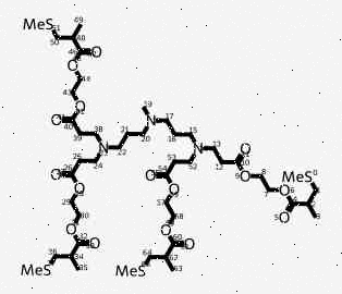 CSCC(C)C(=O)OCCOC(=O)CCN(CCCN(C)CCCN(CCC(=O)OCCOC(=O)C(C)CSC)CCC(=O)OCCOC(=O)C(C)CSC)CCC(=O)OCCOC(=O)C(C)CSC